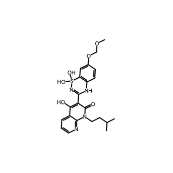 COCOc1ccc2c(c1)S(O)(O)N=C(c1c(O)c3cccnc3n(CCC(C)C)c1=O)N2